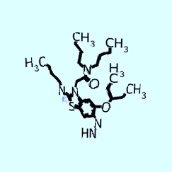 CCCC/N=c1/sc2cc(N=N)c(OC(CC)CC)cc2n1CC(=O)N(CCCC)CCCC